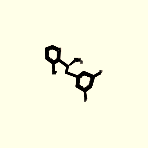 N[C@H](Cc1cc(F)cc(F)c1)c1ncccc1Br